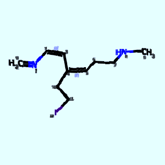 C=N/C=C\C(=C/CCNC)CCI